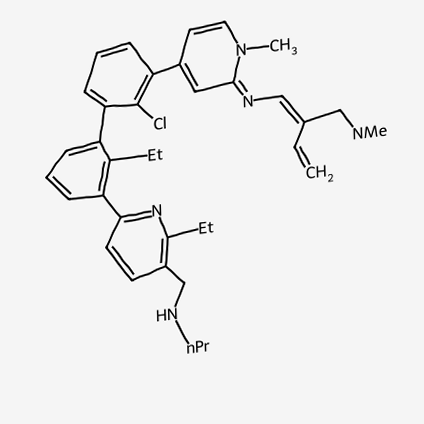 C=C/C(=C\N=c1\cc(-c2cccc(-c3cccc(-c4ccc(CNCCC)c(CC)n4)c3CC)c2Cl)ccn1C)CNC